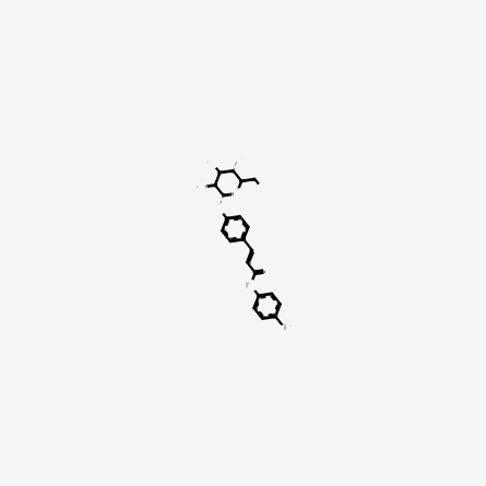 CC(C)c1ccc(NC(=O)/C=C/c2ccc(O[C@@H]3OC(CO)[C@H](O)C(O)C3O)cc2)cc1